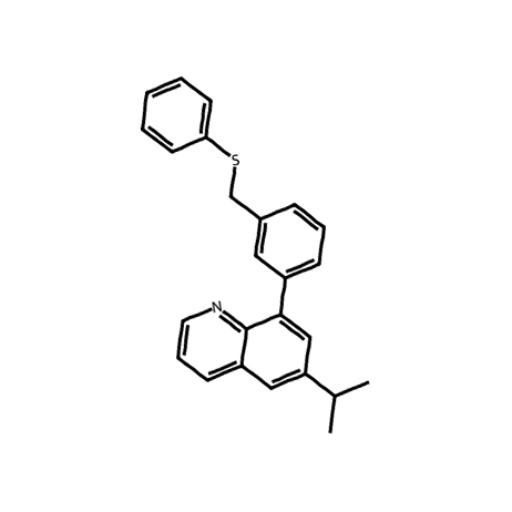 CC(C)c1cc(-c2cccc(CSc3ccccc3)c2)c2ncccc2c1